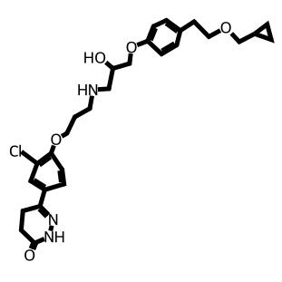 O=C1CCC(c2ccc(OCCCNCC(O)COc3ccc(CCOCC4CC4)cc3)c(Cl)c2)=NN1